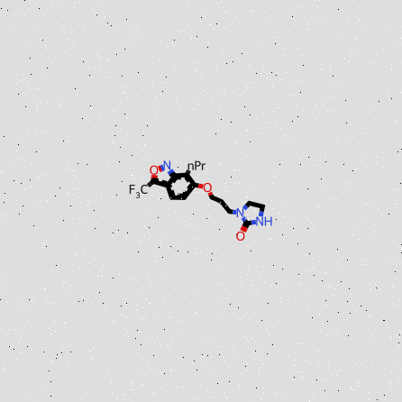 CCCc1c(OCCCN2CCNC2=O)ccc2c(C(F)(F)F)onc12